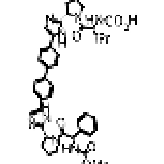 COC(=O)N[C@@H](C(=O)N1CCC[C@H]1c1ncc(-c2ccc(-c3ccc(-c4cnc([C@@H]5CCCN5C(=O)[C@@H](NC(=O)O)C(C)C)[nH]4)cc3)cc2)[nH]1)c1ccccc1